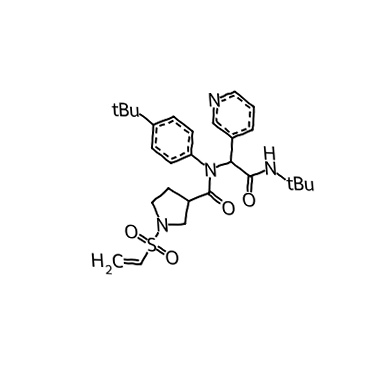 C=CS(=O)(=O)N1CCC(C(=O)N(c2ccc(C(C)(C)C)cc2)C(C(=O)NC(C)(C)C)c2cccnc2)C1